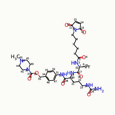 CC(C)[C@H](NC(=O)CCCCCN1C(=O)C=CC1=O)C(=O)N[C@@H](CCCNC(N)=O)C(=O)Nc1ccc(COC(=O)N2CCN(C)CC2)cc1